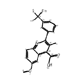 COc1ccc2nc(-c3cccc(C(F)(F)F)c3)c(C)c(C(=O)O)c2c1